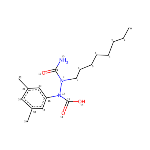 CCCCCCCCN(C(N)=O)N(C(=O)O)c1cc(C)cc(C)c1